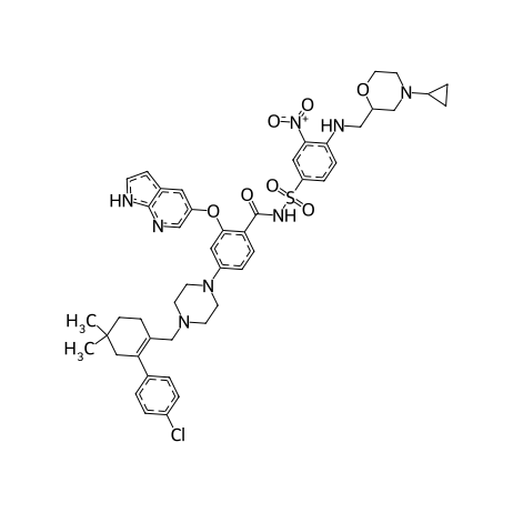 CC1(C)CCC(CN2CCN(c3ccc(C(=O)NS(=O)(=O)c4ccc(NCC5CN(C6CC6)CCO5)c([N+](=O)[O-])c4)c(Oc4cnc5[nH]ccc5c4)c3)CC2)=C(c2ccc(Cl)cc2)C1